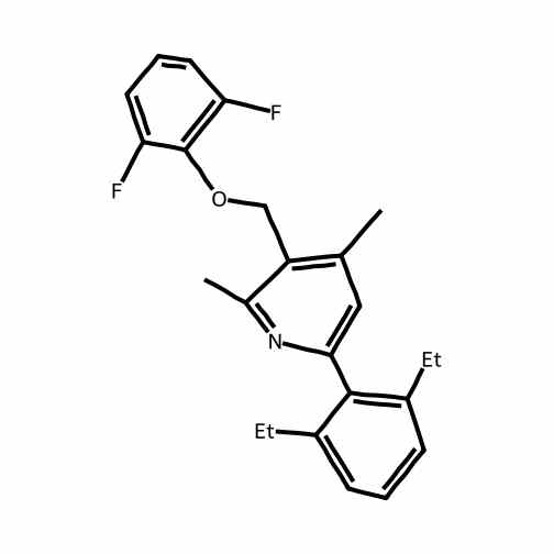 CCc1cccc(CC)c1-c1cc(C)c(COc2c(F)cccc2F)c(C)n1